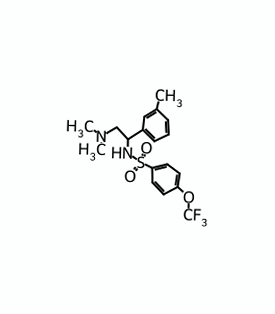 Cc1cccc(C(CN(C)C)NS(=O)(=O)c2ccc(OC(F)(F)F)cc2)c1